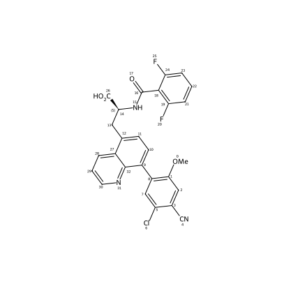 COc1cc(C#N)c(Cl)cc1-c1ccc(C[C@H](NC(=O)c2c(F)cccc2F)C(=O)O)c2cccnc12